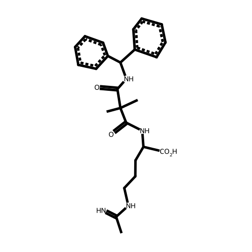 CC(=N)NCCCC(NC(=O)C(C)(C)C(=O)NC(c1ccccc1)c1ccccc1)C(=O)O